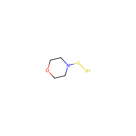 SSN1CCOCC1